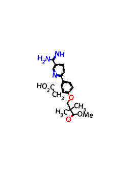 CC(=O)O.COC(=O)C(C)(C)COc1ccc(-c2ccc(C(=N)N)cn2)cc1